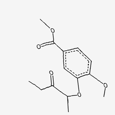 CCC(=O)C(C)Oc1cc(C(=O)OC)ccc1OC